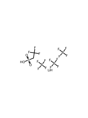 F[B-](F)(F)F.F[B-](F)(F)F.F[B-](F)(F)F.O=S(=O)(O)CC(F)(F)F.[LiH]